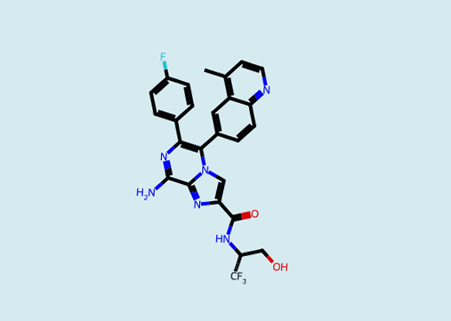 Cc1ccnc2ccc(-c3c(-c4ccc(F)cc4)nc(N)c4nc(C(=O)NC(CO)C(F)(F)F)cn34)cc12